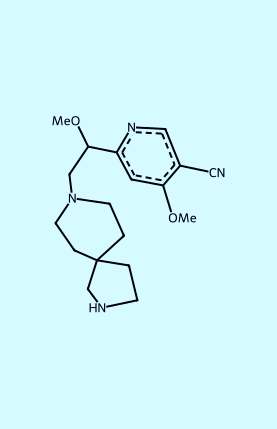 COc1cc(C(CN2CCC3(CCNC3)CC2)OC)ncc1C#N